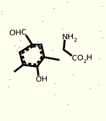 Cc1cc(C=O)cc(C)c1O.NCC(=O)O